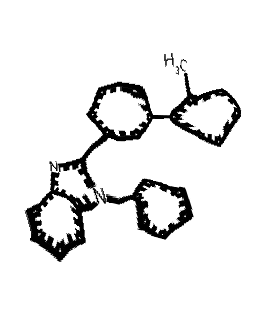 Cc1ccccc1-c1cccc(-c2nc3ccccc3n2-c2ccccc2)c1